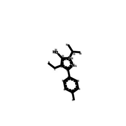 CCc1c(-c2ccc(C)cc2)nn(C(C)C)c1O